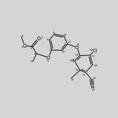 COC(=O)C(C)Oc1cccc(Oc2nc(C)c(C#N)cc2Cl)c1